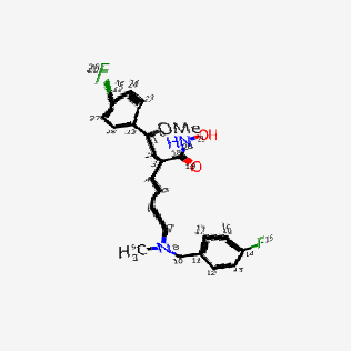 COC(CC(CCCCN(C)Cc1ccc(F)cc1)C(=O)NO)c1ccc(F)cc1